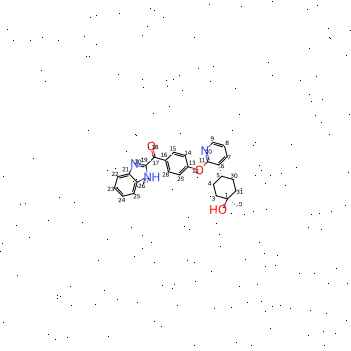 C[C@]1(O)CC[C@H](c2cccnc2Oc2ccc(C(=O)c3nc4ccccc4[nH]3)cc2)CC1